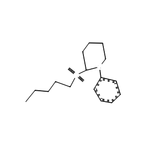 CCCCCS(=O)(=O)C1CCCCN1c1ccccc1